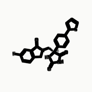 O=C1NC(=O)[C@](CN2Cc3ccc(F)cc3C2=O)(c2ccc(-c3cccs3)cc2)N1